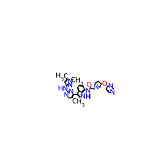 Cc1cnc(Nc2cc(C)n(C)n2)nc1-c1c[nH]c2c(NC(=O)CN3CCC(Oc4ccncn4)C3)cccc12